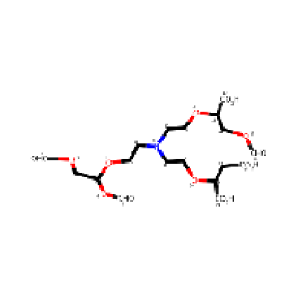 O=COCC(OC=O)OCCN(CCOC(COC=O)C(=O)O)CCOC(CC(=O)O)C(=O)O